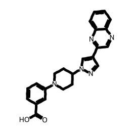 O=C(O)c1cccc(N2CCC(n3cc(-c4cnc5ccccc5n4)cn3)CC2)c1